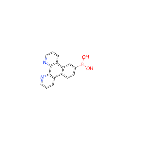 OB(O)c1ccc2c(c1)c1cccnc1c1ncccc21